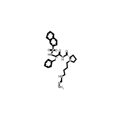 NN=CNCCCCN1CCC[C@H]1C(=O)NC(=O)[C@H](Cc1ccccc1)NS(=O)(=O)c1ccc2ccccc2c1